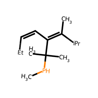 CC/C=C\C(=C(/C)C(C)C)C(C)(C)PC